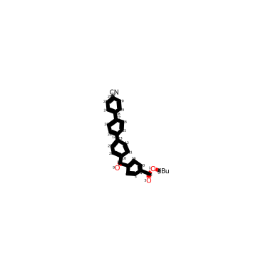 CCC(C)OC(=O)c1ccc(C(=O)c2ccc(-c3ccc(-c4ccc(C#N)cc4)cc3)cc2)cc1